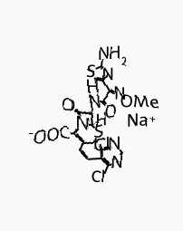 CO/N=C(\C(=O)N[C@@H]1C(=O)N2C(C(=O)[O-])=C(/C=C\c3c(Cl)ncnc3Cl)CS[C@H]12)c1csc(N)n1.[Na+]